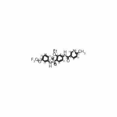 CCOc1cc(NC(=O)c2ccc(C)nc2)ccc1S(=O)(=O)Nc1cccc(OC(F)(F)F)c1